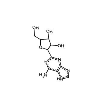 Nc1nc(C2OC(CO)C(O)C2O)nc2nc[nH]c12